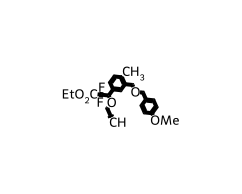 C#CCOC(c1ccc(C)c(COCc2ccc(OC)cc2)c1)C(F)(F)C(=O)OCC